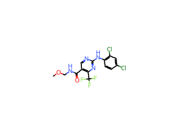 COCNC(=O)c1cnc(Nc2ccc(Cl)cc2Cl)nc1C(F)(F)F